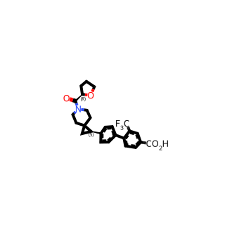 O=C(O)c1ccc(-c2ccc([C@H]3CC34CCN(C(=O)[C@H]3CCCO3)CC4)cc2)c(C(F)(F)F)c1